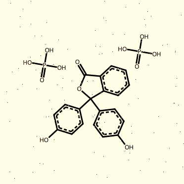 O=C1OC(c2ccc(O)cc2)(c2ccc(O)cc2)c2ccccc21.O=P(O)(O)O.O=P(O)(O)O